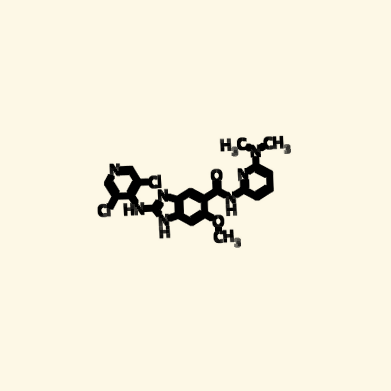 COc1cc2[nH]c(Nc3c(Cl)cncc3Cl)nc2cc1C(=O)Nc1cccc(N(C)C)n1